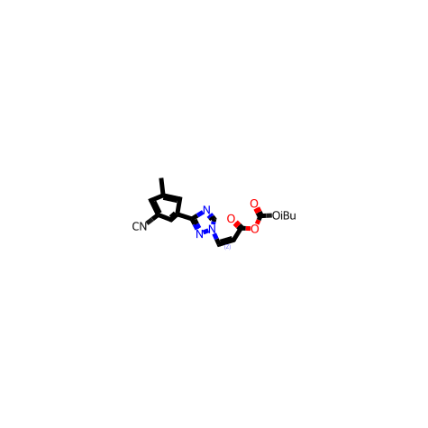 [C-]#[N+]c1cc(C)cc(-c2ncn(/C=C\C(=O)OC(=O)OCC(C)C)n2)c1